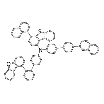 c1ccc(-c2cccc3oc4ccccc4c23)c(-c2ccc(N(c3ccc(-c4ccc(-c5ccc6ccccc6c5)cc4)cc3)c3ccc(-c4cccc5ccccc45)c4sc5ccccc5c34)cc2)c1